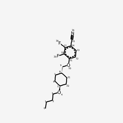 CCCCO[C@H]1CC[C@H](COc2ccc(C#N)c(F)c2F)CC1